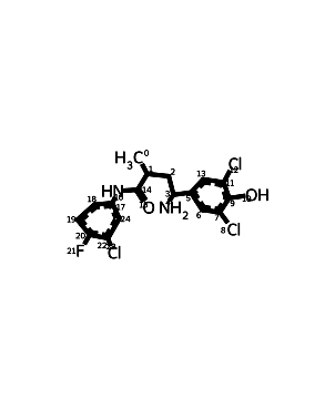 CC(CC(N)c1cc(Cl)c(O)c(Cl)c1)C(=O)Nc1ccc(F)c(Cl)c1